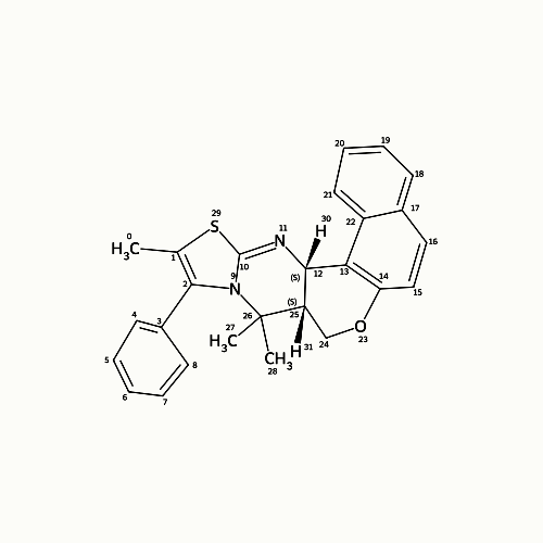 CC1=C(c2ccccc2)N2C(=N[C@@H]3c4c(ccc5ccccc45)OC[C@@H]3C2(C)C)S1